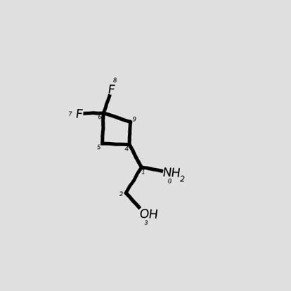 NC(CO)C1CC(F)(F)C1